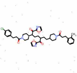 Cc1ccccc1CCC(=O)N1CCC(CCC(CCC(C(=O)c2ncco2)C2CCN(C(=O)CCc3ccc(Cl)cc3)CC2)C(=O)c2ncco2)CC1